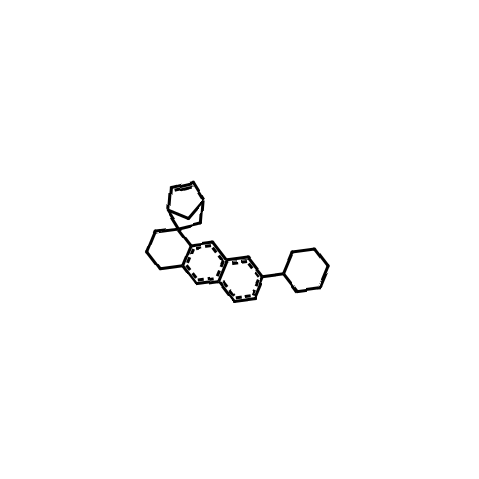 C1=CC2CC1CC21CCCc2cc3ccc(C4CCCCC4)cc3cc21